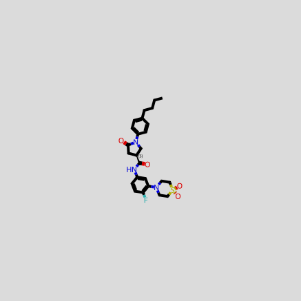 CCCCc1ccc(N2C[C@@H](C(=O)Nc3ccc(F)c(N4CCS(=O)(=O)CC4)c3)CC2=O)cc1